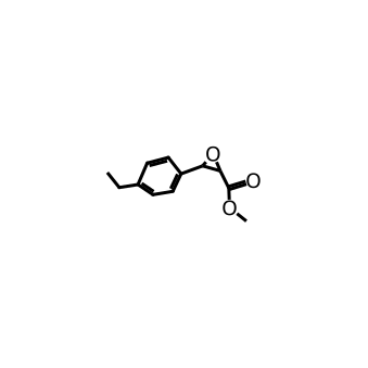 CCc1ccc(C2OC2C(=O)OC)cc1